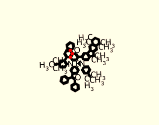 CC(C)(C)c1ccc(N2B3c4cc5oc(-c6ccccc6)c(-c6ccccc6)c5cc4N(c4ccc(C(C)(C)C)cc4-c4ccccc4)c4cc5c(oc6ccccc65)c(c43)-c3cc4c(cc32)C(C)(C)c2cc3c(cc2-4)C(C)(C)CCC3(C)C)cc1